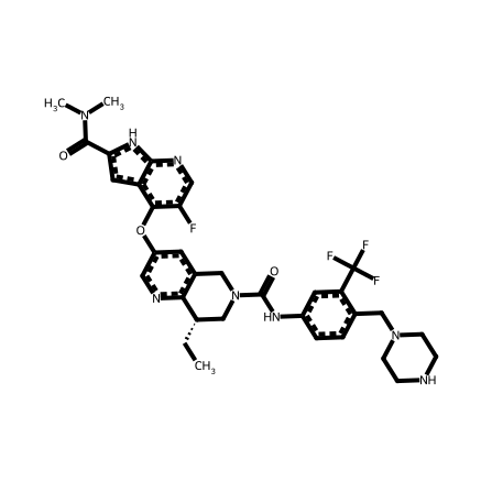 CC[C@H]1CN(C(=O)Nc2ccc(CN3CCNCC3)c(C(F)(F)F)c2)Cc2cc(Oc3c(F)cnc4[nH]c(C(=O)N(C)C)cc34)cnc21